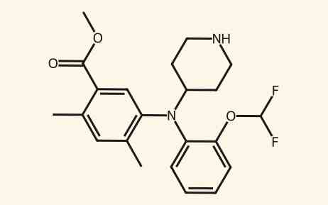 COC(=O)c1cc(N(c2ccccc2OC(F)F)C2CCNCC2)c(C)cc1C